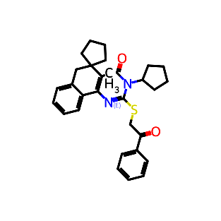 CC1=C(/N=C(/SCC(=O)c2ccccc2)N(C=O)C2CCCC2)c2ccccc2CC12CCCC2